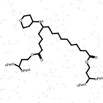 CCCCCC(CCCCC)CCOC(=O)CCCCCCCCCC(CCCCC(=O)OCCC(CCCCC)CCCCC)NC1CCOCC1